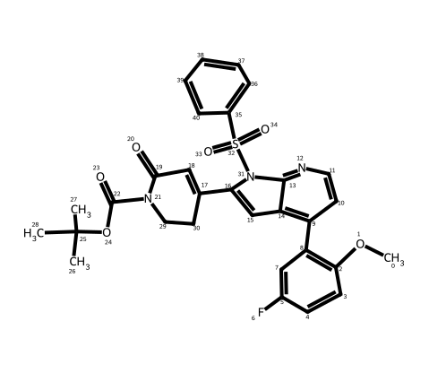 COc1ccc(F)cc1-c1ccnc2c1cc(C1=CC(=O)N(C(=O)OC(C)(C)C)CC1)n2S(=O)(=O)c1ccccc1